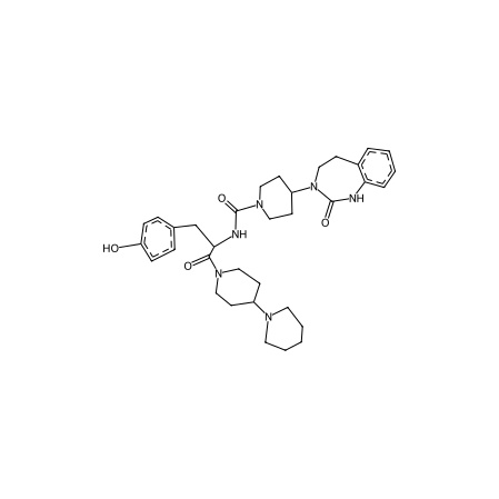 O=C(NC(Cc1ccc(O)cc1)C(=O)N1CCC(N2CCCCC2)CC1)N1CCC(N2CCc3ccccc3NC2=O)CC1